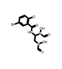 O=CN(O)CC(NC(=O)c1cc(Br)ccc1Cl)N(O)C=O